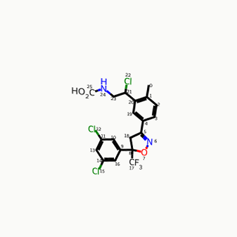 Cc1ccc(C2=NOC(c3cc(Cl)cc(Cl)c3)(C(F)(F)F)C2)cc1C(Cl)CNC(=O)O